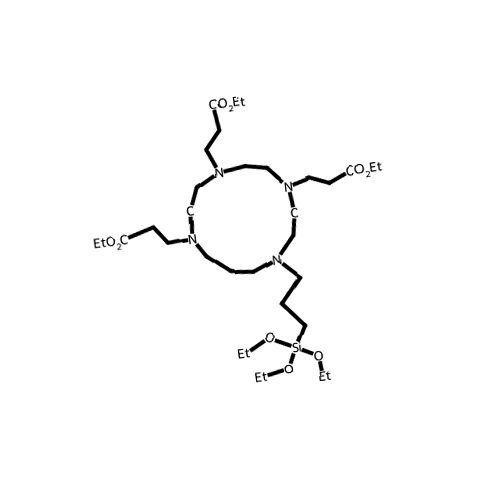 CCOC(=O)CCN1CCCN(CCC[Si](OCC)(OCC)OCC)CCN(CCC(=O)OCC)CCN(CCC(=O)OCC)CC1